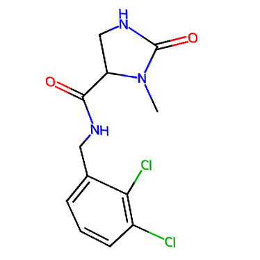 CN1C(=O)NCC1C(=O)NCc1cccc(Cl)c1Cl